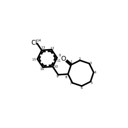 O=C1CCCCCCC1Cc1ccc(Cl)cc1